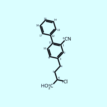 N#Cc1cc(CCC(Cl)C(=O)O)ccc1-c1ccccc1